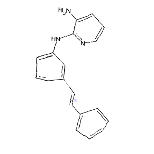 Nc1cccnc1Nc1cccc(/C=C/c2ccccc2)c1